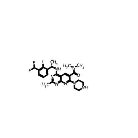 Cc1nc(N[C@H](C)c2cccc(C(F)F)c2F)c2cc(C(=O)N(C)C)c(N3CCNCC3)nc2n1